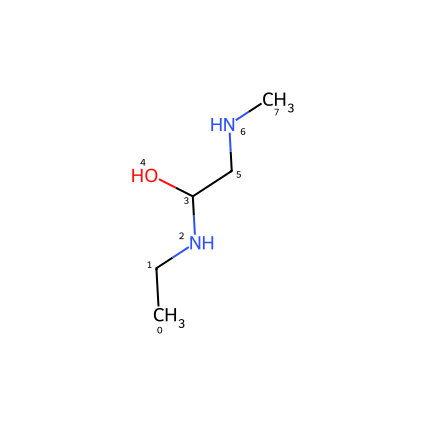 CCNC(O)CNC